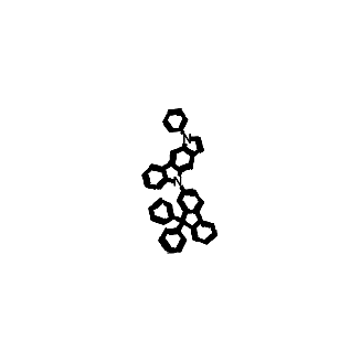 c1ccc(-n2ccc3cc4c(cc32)c2ccccc2n4-c2ccc3c(c2)C(c2ccccc2)(c2ccccc2)c2ccccc2-3)cc1